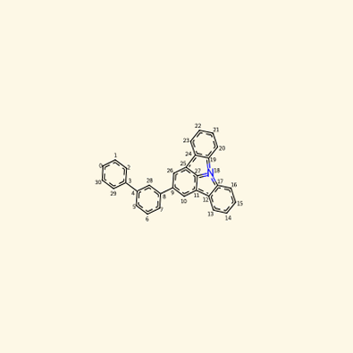 c1ccc(-c2cccc(-c3cc4c5ccccc5n5c6ccccc6c(c3)c45)c2)cc1